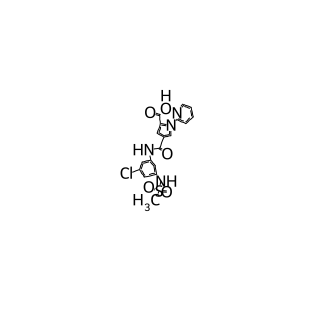 CS(=O)(=O)Nc1cc(Cl)cc(NC(=O)c2cc(C(=O)O)n(-c3ccccn3)c2)c1